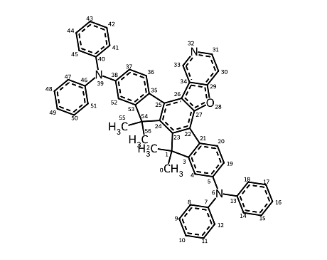 CC1(C)c2cc(N(c3ccccc3)c3ccccc3)ccc2-c2c1c1c(c3c2oc2ccncc23)-c2ccc(N(c3ccccc3)c3ccccc3)cc2C1(C)C